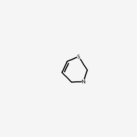 C1=CSC[N]C1